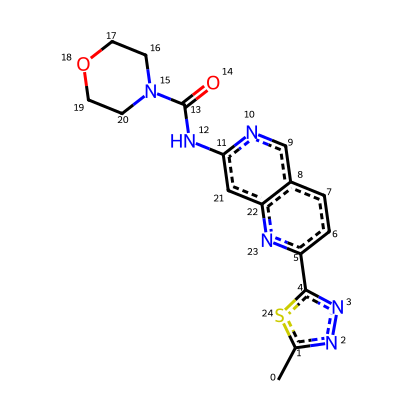 Cc1nnc(-c2ccc3cnc(NC(=O)N4CCOCC4)cc3n2)s1